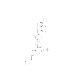 CCN1CCN(c2cnc(-c3nc(N4CC[C@@H](NC(=O)c5[nH]c(C)c(Cl)c5Cl)[C@@H](OC)C4)sc3C(=O)O)cn2)CC1